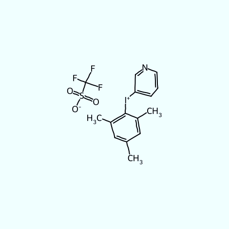 Cc1cc(C)c([I+]c2cccnc2)c(C)c1.O=S(=O)([O-])C(F)(F)F